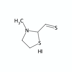 CN1CCSC1C=S.I